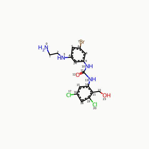 NCCNc1cc(Br)cc(NC(=O)Nc2cc(Cl)cc(Cl)c2CO)c1